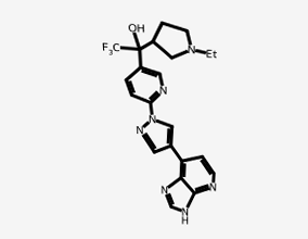 CCN1CCC(C(O)(c2ccc(-n3cc(-c4ccnc5[nH]cnc45)cn3)nc2)C(F)(F)F)C1